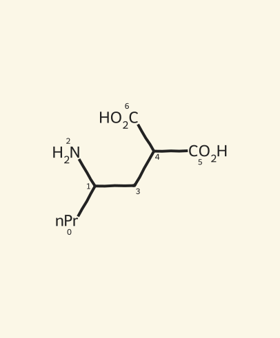 CCCC(N)CC(C(=O)O)C(=O)O